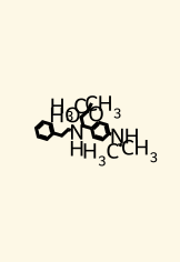 CC(C)Nc1ccc2c(c1)OC(C)(C)[C@H](O)[C@H]2NCCc1ccccc1